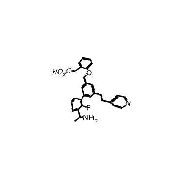 CC(N)c1cccc(-c2cc(CCc3ccncc3)cc(COc3ccccc3CC(=O)O)c2)c1F